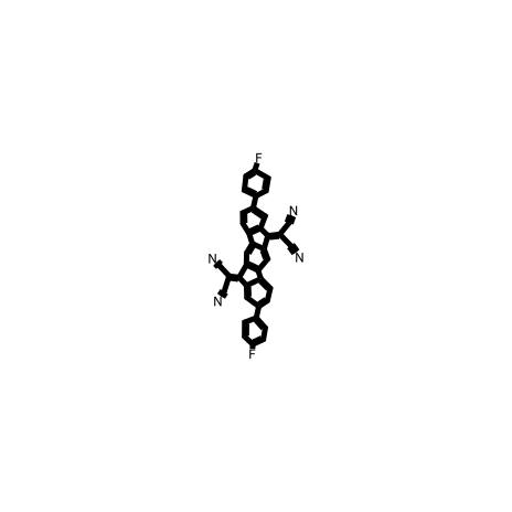 N#CC(C#N)=C1c2cc(-c3ccc(F)cc3)ccc2-c2cc3c(cc21)-c1ccc(-c2ccc(F)cc2)cc1C3=C(C#N)C#N